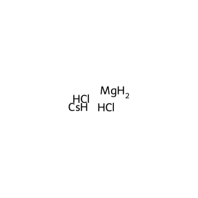 Cl.Cl.[CsH].[MgH2]